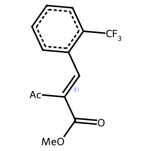 COC(=O)/C(=C/c1ccccc1C(F)(F)F)C(C)=O